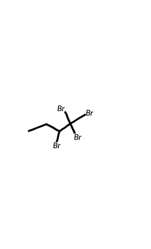 CCC(Br)C(Br)(Br)Br